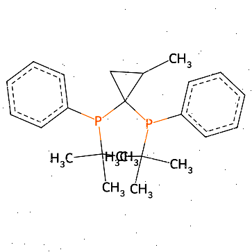 CC1CC1(P(c1ccccc1)C(C)(C)C)P(c1ccccc1)C(C)(C)C